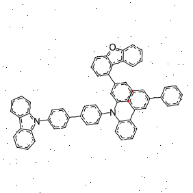 c1ccc(-c2cccc(-c3ccccc3N(c3ccc(-c4ccc(-n5c6ccccc6c6ccccc65)cc4)cc3)c3cccc(-c4cccc5oc6ccccc6c45)c3)c2)cc1